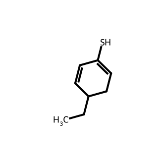 CCC1C=CC(S)=CC1